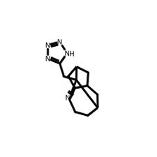 N#CC1(Cc2nnn[nH]2)C2CCCC3CC1CC3C2